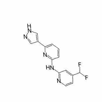 FC(F)c1ccnc(Nc2cccc(-c3cn[nH]c3)n2)c1